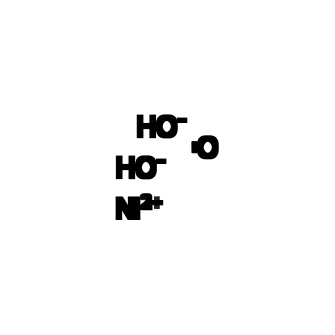 [Ni+2].[OH-].[OH-].[O]